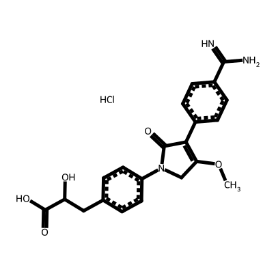 COC1=C(c2ccc(C(=N)N)cc2)C(=O)N(c2ccc(CC(O)C(=O)O)cc2)C1.Cl